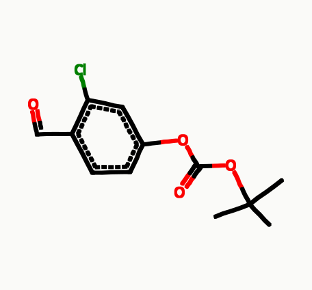 CC(C)(C)OC(=O)Oc1ccc(C=O)c(Cl)c1